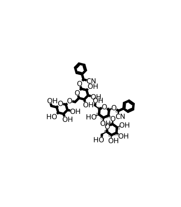 N#CC(OC1OC(COC2OC(CO)C(O)C(O)C2O)C(O)C(O)C1O)c1ccccc1.N#C[C@@H](O[C@@H]1O[C@H](CO)[C@@H](O)[C@H](O)[C@H]1O[C@@H]1O[C@H](CO)[C@@H](O)[C@H](O)[C@H]1O)c1ccccc1